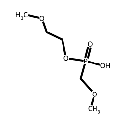 COCCOP(=O)(O)COC